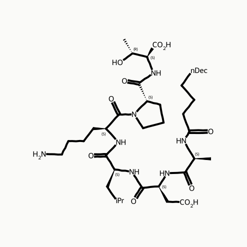 CCCCCCCCCCCCCC(=O)N[C@@H](C)C(=O)N[C@@H](CC(=O)O)C(=O)N[C@@H](CC(C)C)C(=O)N[C@@H](CCCCN)C(=O)N1CCC[C@H]1C(=O)N[C@H](C(=O)O)[C@@H](C)O